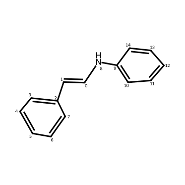 C(=Cc1ccccc1)Nc1ccccc1